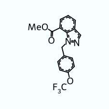 COC(=O)c1cccc2cnn(Cc3ccc(OC(F)(F)F)cc3)c12